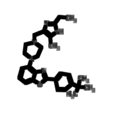 CCc1nc(CN2CCN(c3cccc4oc(-c5ccc(C(C)(C)C)cc5)nc34)CC2)c(C)[nH]1